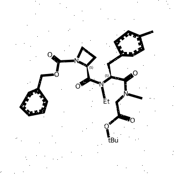 CCN(C(=O)[C@@H]1CCN1C(=O)OCc1ccccc1)[C@@H](Cc1ccc(C)cc1)C(=O)N(C)CC(=O)OC(C)(C)C